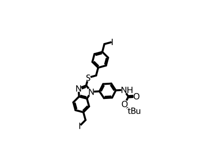 CC(C)(C)OC(=O)Nc1ccc(-n2c(SCc3ccc(CI)cc3)nc3ccc(CI)cc32)cc1